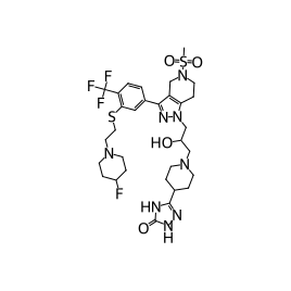 CS(=O)(=O)N1CCc2c(c(-c3ccc(C(F)(F)F)c(SCCN4CCC(F)CC4)c3)nn2CC(O)CN2CCC(c3n[nH]c(=O)[nH]3)CC2)C1